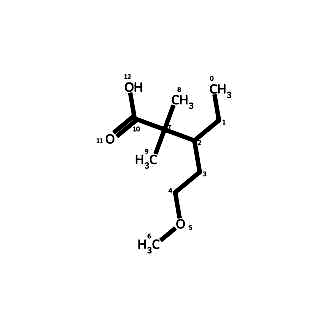 CCC(CCOC)C(C)(C)C(=O)O